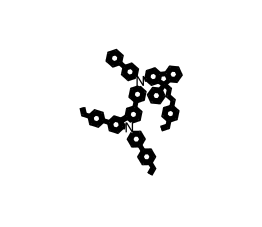 C=Cc1ccc(CCCC2(c3ccccc3)c3ccccc3-c3ccc(N(c4ccc(-c5ccccc5)cc4)c4ccc(-c5ccc6c(c5)c5cc(-c7ccc(C=C)cc7)ccc5n6-c5ccc(-c6ccc(C=C)cc6)cc5)cc4)cc32)cc1